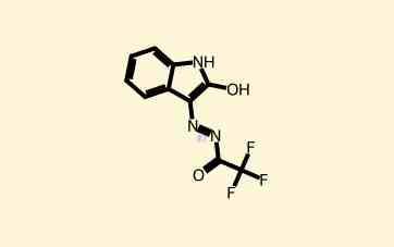 O=C(/N=N/c1c(O)[nH]c2ccccc12)C(F)(F)F